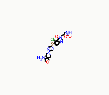 N[C@@H]1COCC12CCN(c1cnc(Sc3ccc4ncn(CC5CNC(=O)O5)c(=O)c4c3Cl)cn1)CC2